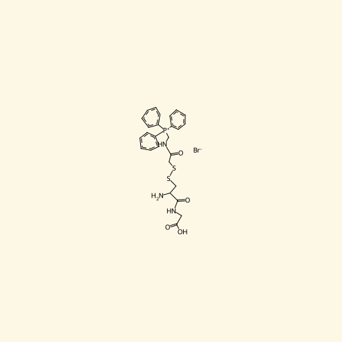 NC(CSSCC(=O)NC[P+](c1ccccc1)(c1ccccc1)c1ccccc1)C(=O)NCC(=O)O.[Br-]